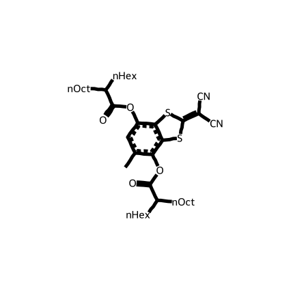 CCCCCCCCC(CCCCCC)C(=O)Oc1cc(C)c(OC(=O)C(CCCCCC)CCCCCCCC)c2c1SC(=C(C#N)C#N)S2